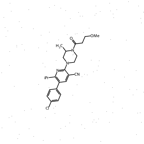 COCCC(=O)N1CCN(c2nc(C(C)C)c(-c3ccc(Cl)cc3)cc2C#N)CC1C